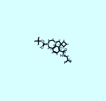 CC(C)(C)OC(=O)N1CCN2CC3(CCC3)c3c(C(=O)NCC(F)F)ccc(c32)C1